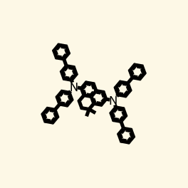 CC1(C)CCc2c(N(c3ccc(-c4ccccc4)cc3)c3ccc(-c4ccccc4)cc3)ccc3cc(N(c4ccc(-c5ccccc5)cc4)c4ccc(-c5ccccc5)cc4)cc1c23